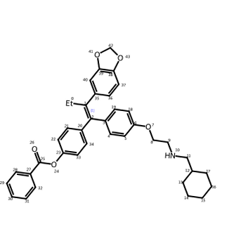 CC/C(=C(/c1ccc(OCCNCC2CCCCC2)cc1)c1ccc(OC(=O)c2ccccc2)cc1)c1ccc2c(c1)OCO2